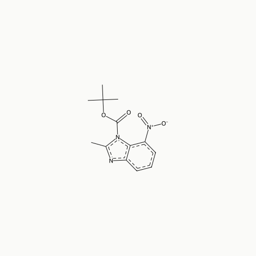 Cc1nc2cccc([N+](=O)[O-])c2n1C(=O)OC(C)(C)C